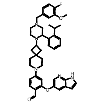 COc1cc(CN2CCN(C3CC4(CCN(c5ccc(C=O)c(Oc6cnc7[nH]ccc7c6)c5)CC4)C3)C(c3ccccc3C(C)C)C2)ccc1F